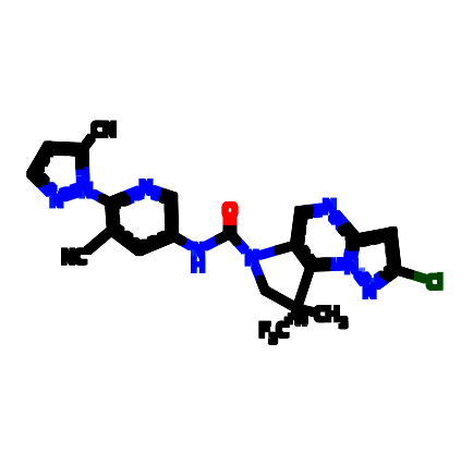 C[C@@]1(C(F)(F)F)CN(C(=O)Nc2cnc(-n3nccc3C#N)c(C#N)c2)c2cnc3cc(Cl)nn3c21